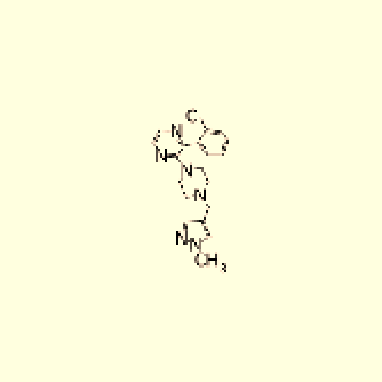 Cn1cc(CN2CCN(c3nccnc3-c3ccccc3Cl)CC2)cn1